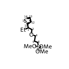 CCC(COCCC[Si](OC)(OC)OC)c1cccs1